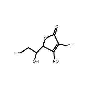 O=NC1=C(O)C(=O)OC1C(O)CO